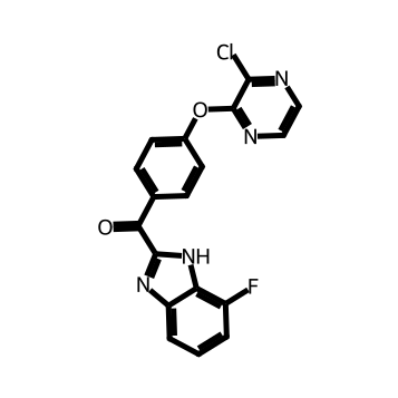 O=C(c1ccc(Oc2nccnc2Cl)cc1)c1nc2cccc(F)c2[nH]1